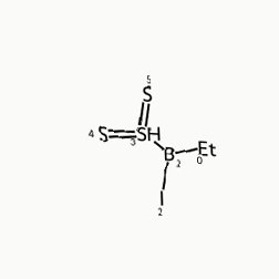 CCB(I)[SH](=S)=S